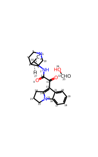 O=C(N[C@@H]1CN2CCC1CC2)C(=O)c1c2n(c3ccccc13)CCC2.O=CO